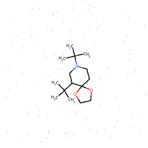 CC(C)(C)C1CN(C(C)(C)C)CCC12OCCO2